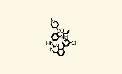 C=CC(=O)Nc1cc(Nc2ncc3cccc(-c4cncc(Cl)c4)c3n2)ccc1OC1CCN(C)CC1